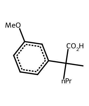 CCCC(C)(C(=O)O)c1cccc(OC)c1